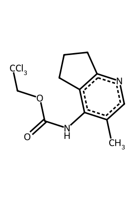 Cc1cnc2c(c1NC(=O)OCC(Cl)(Cl)Cl)CCC2